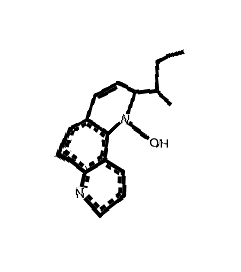 CCC(C)C1C=Cc2ccc3ncccc3c2N1O